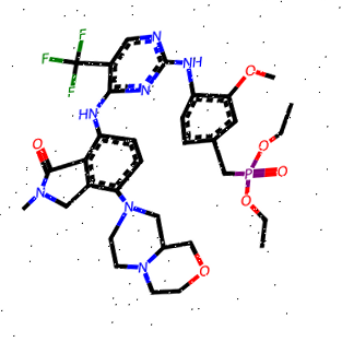 CCOP(=O)(Cc1ccc(Nc2ncc(C(F)(F)F)c(Nc3ccc(N4CCN5CCOCC5C4)c4c3C(=O)N(C)C4)n2)c(OC)c1)OCC